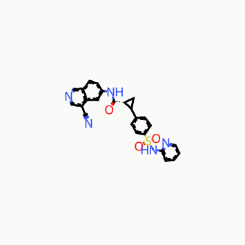 N#Cc1cncc2ccc(NC(=O)[C@@H]3CC3c3ccc(S(=O)(=O)Nc4ccccn4)cc3)cc12